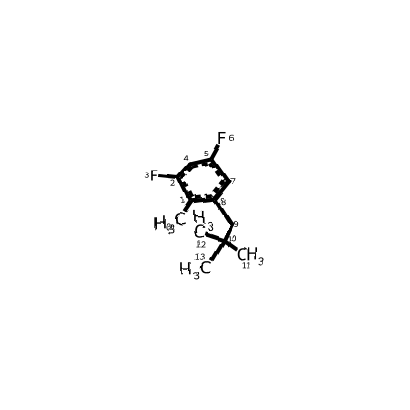 Cc1c(F)cc(F)cc1CC(C)(C)C